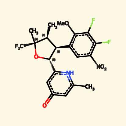 COc1c([C@H]2[C@H](c3cc(=O)cc(C)[nH]3)O[C@@](C)(C(F)(F)F)[C@H]2C)cc([N+](=O)[O-])c(F)c1F